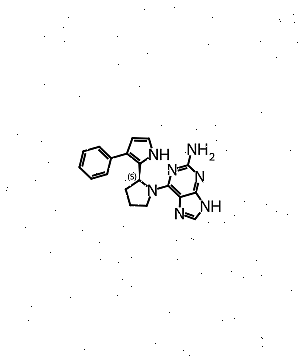 Nc1nc(N2CCC[C@H]2c2[nH]ccc2-c2ccccc2)c2nc[nH]c2n1